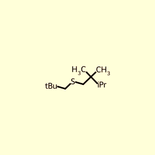 CC(C)C(C)(C)CSCC(C)(C)C